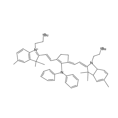 CC1=CC2C(C=C1)N(CCC(C)(C)C)/C(=C/C=C1\CCC(/C=C/C3=[N+](CCC(C)(C)C)c4ccc(C)cc4C3(C)C)=C1N(c1ccccc1)c1ccccc1)C2(C)C